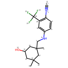 [C-]#[N+]c1ccc(NCC2(C)CC(O)CC(C)(C)C2)cc1C(F)(F)F